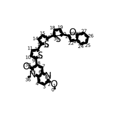 COc1ccc2c(cc(-c3ccc(-c4ccc(-c5ccc(-c6cc7ccccc7o6)s5)s4)s3)c(=O)n2C)n1